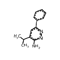 CC(C)c1cc(-c2ccccc2)nnc1N